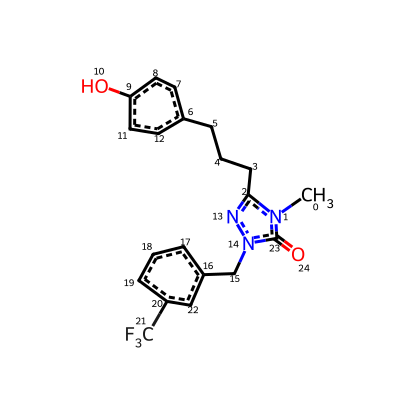 Cn1c(CCCc2ccc(O)cc2)nn(Cc2cccc(C(F)(F)F)c2)c1=O